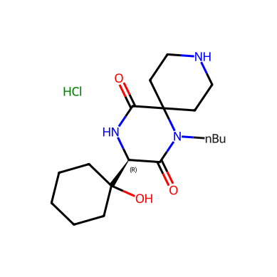 CCCCN1C(=O)[C@@H](C2(O)CCCCC2)NC(=O)C12CCNCC2.Cl